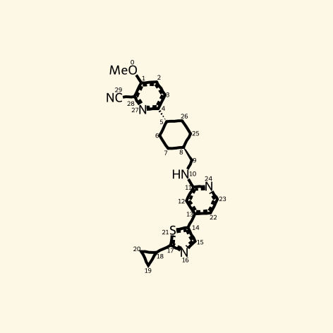 COc1ccc([C@H]2CC[C@H](CNc3cc(-c4cnc(C5CC5)s4)ccn3)CC2)nc1C#N